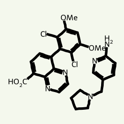 COc1cc(OC)c(Cl)c(-c2ccc(C(=O)O)c3nccnc23)c1Cl.Nc1ccc(CN2CCCC2)cn1